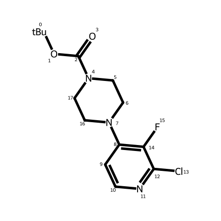 CC(C)(C)OC(=O)N1CCN(c2ccnc(Cl)c2F)CC1